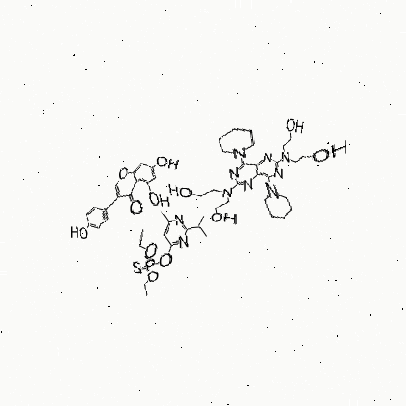 CCOP(=S)(OCC)Oc1cc(C)nc(C(C)C)n1.O=c1c(-c2ccc(O)cc2)coc2cc(O)cc(O)c12.OCCN(CCO)c1nc(N2CCCCC2)c2nc(N(CCO)CCO)nc(N3CCCCC3)c2n1